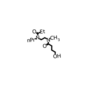 CCCN(CCN(C)C(=O)CCCO)C(=O)CC